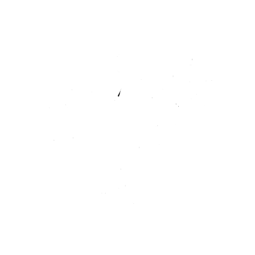 C[C@@H](CCCC1CCCCC1)[C@H](O)C=CC1CC(F)(F)C(=O)N1CCCCCCC(=O)O